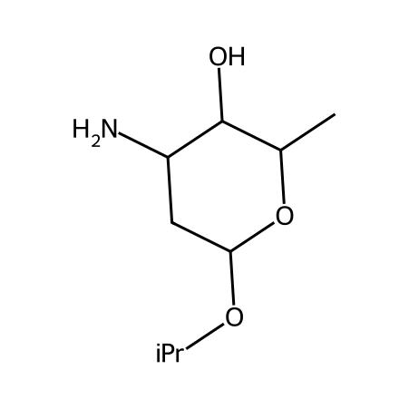 CC(C)OC1CC(N)C(O)C(C)O1